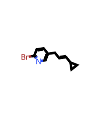 Brc1ccc(CC=CC2CC2)cn1